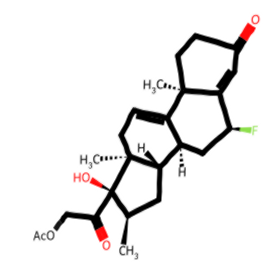 CC(=O)OCC(=O)[C@@]1(O)[C@H](C)C[C@H]2[C@@H]3C[C@H](F)C4=CC(=O)CC[C@]4(C)C3=CC[C@@]21C